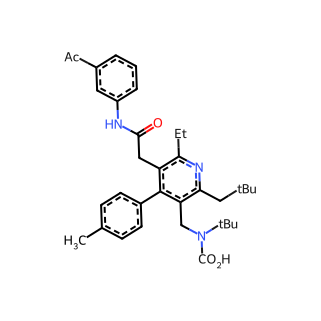 CCc1nc(CC(C)(C)C)c(CN(C(=O)O)C(C)(C)C)c(-c2ccc(C)cc2)c1CC(=O)Nc1cccc(C(C)=O)c1